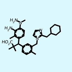 Cc1ccc(C(c2ccc(N(C)N)c(N)c2C)C(C)(C)C(=O)O)cc1Cn1ccnc1CC1CCCCC1